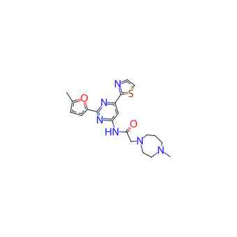 Cc1ccc(-c2nc(NC(=O)CN3CCCN(C)CC3)cc(-c3nccs3)n2)o1